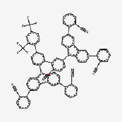 N#Cc1ccccc1-c1ccc2c(c1)c1cc(-c3ccccc3C#N)ccc1n2-c1ccc(C#N)c(-c2cc(-c3ccc(C(F)(F)F)cc3C(F)(F)F)ccc2-n2c3ccc(-c4ccccc4C#N)cc3c3cc(-c4ccccc4C#N)ccc32)c1